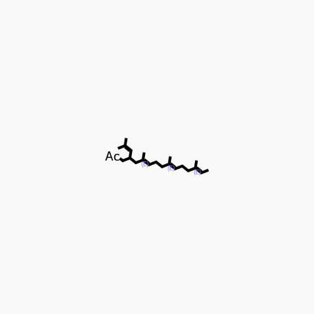 C/C=C(\C)CC/C=C(\C)CC/C=C(\C)CC(C=C(C)C)CC(C)=O